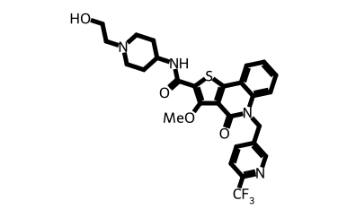 COc1c(C(=O)NC2CCN(CCO)CC2)sc2c1c(=O)n(Cc1ccc(C(F)(F)F)nc1)c1ccccc21